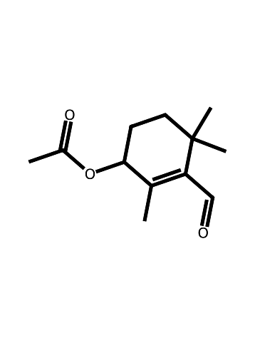 CC(=O)OC1CCC(C)(C)C(C=O)=C1C